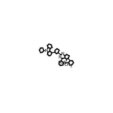 C[Si]1(C)c2ccccc2-c2ccc3nc(-c4cccc(-c5cccc6c5c5ccccc5n6-c5ccccc5)c4)nc(-c4ccccc4)c3c21